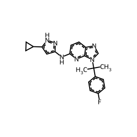 CC(C)(c1ccc(F)cc1)n1cnc2ccc(Nc3cc(C4CC4)[nH]n3)nc21